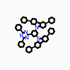 c1ccc(-c2ccc3c(c2)c2ccc(-c4ccccc4)cc2n3-c2cc(-c3nc(-c4ccccc4)nc(-c4ccccc4)n3)cc(-n3c4cc(-c5ccccc5)ccc4c4ccc(-c5ccccc5)cc43)c2)cc1